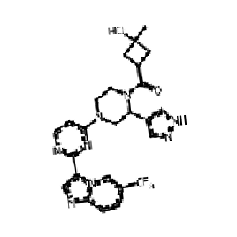 CC1(O)CC(C(=O)N2CCN(c3ccnc(-c4cnc5ccc(C(F)(F)F)cn45)n3)CC2c2cn[nH]c2)C1